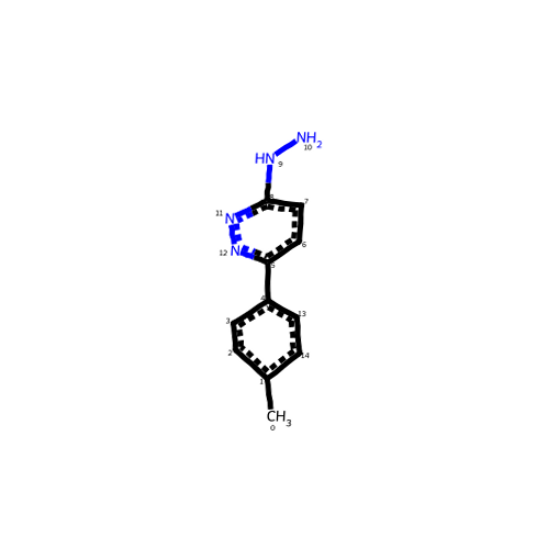 Cc1ccc(-c2ccc(NN)nn2)cc1